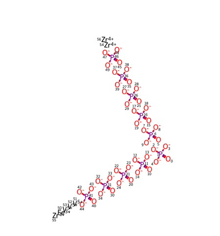 O=P([O-])([O-])[O-].O=P([O-])([O-])[O-].O=P([O-])([O-])[O-].O=P([O-])([O-])[O-].O=P([O-])([O-])[O-].O=P([O-])([O-])[O-].O=P([O-])([O-])[O-].O=P([O-])([O-])[O-].O=P([O-])([O-])[O-].O=P([O-])([O-])[O-].[Fe+3].[V+5].[V+5].[V+5].[Zr+4].[Zr+4].[Zr+4]